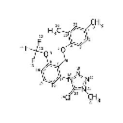 Cc1ccc(OCc2c(OC(F)(F)F)cccc2-n2nnn(C)c2=O)c(C)c1